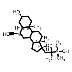 C#C[C@@H]1CC2C3CC[C@@](O)(CC(C)(C)[Si](C)(C)O)[C@@]3(C)CCC2[C@@]2(C)CC[C@H](O)C[C@H]12